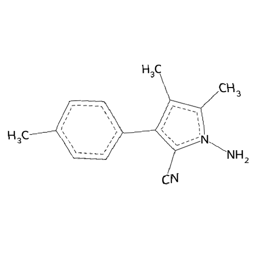 Cc1ccc(-c2c(C)c(C)n(N)c2C#N)cc1